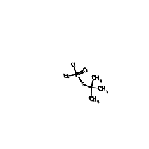 CCP(=O)(Cl)SC(C)(C)C